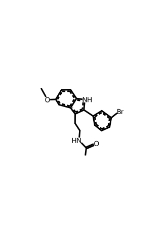 COc1ccc2[nH]c(-c3cccc(Br)c3)c(CCNC(C)=O)c2c1